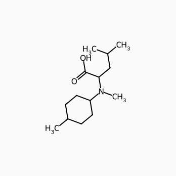 CC(C)CC(C(=O)O)N(C)C1CCC(C)CC1